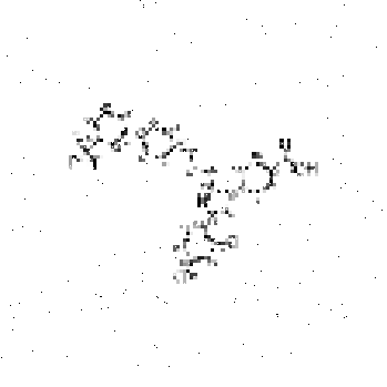 O=C(O)c1ccc(-n2cc(-c3ccc(Cl)cc3Cl)nc2CCCc2ccc(-c3cccc(C(F)(F)F)c3)cc2)cc1